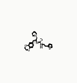 O=C(NCCc1cccs1)NC(Cc1ccc2c(c1)OCCO2)CN1CCCC1